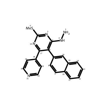 CSc1nc(NN)c(-c2ccc3ccccc3c2)c(-c2ccncc2)n1